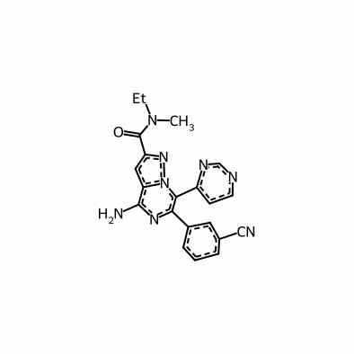 CCN(C)C(=O)c1cc2c(N)nc(-c3cccc(C#N)c3)c(-c3ccncn3)n2n1